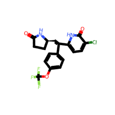 O=C1CC[C@H](/C=C(\c2ccc(OC(F)(F)F)cc2)c2ccc(Cl)c(=O)[nH]2)N1